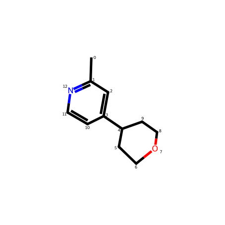 Cc1cc(C2CCOCC2)ccn1